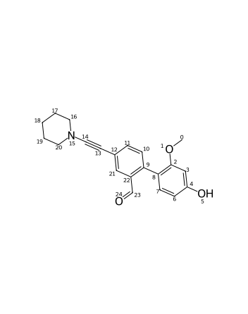 COc1cc(O)ccc1-c1ccc(C#CN2CCCCC2)cc1C=O